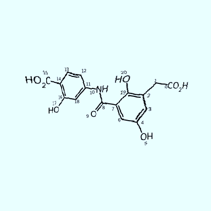 O=C(O)Cc1cc(O)cc(C(=O)Nc2ccc(C(=O)O)c(O)c2)c1O